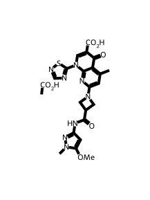 CC(=O)O.COc1cc(NC(=O)C2CN(c3cc(C)c4c(=O)c(C(=O)O)cn(-c5ncns5)c4n3)C2)nn1C